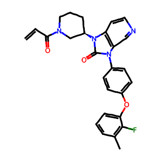 C=CC(=O)N1CCC[C@@H](n2c(=O)n(-c3ccc(Oc4cccc(C)c4F)cc3)c3cnccc32)C1